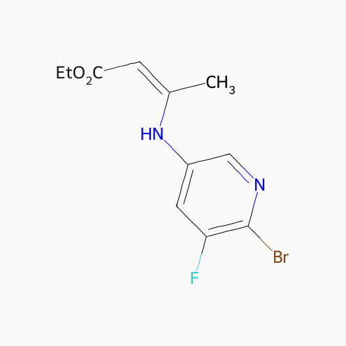 CCOC(=O)/C=C(/C)Nc1cnc(Br)c(F)c1